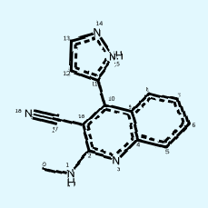 CNc1nc2ccccc2c(-c2ccn[nH]2)c1C#N